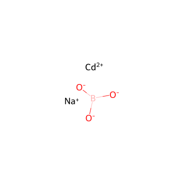 [Cd+2].[Na+].[O-]B([O-])[O-]